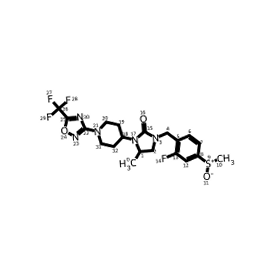 CC1CN(Cc2ccc([S+](C)[O-])cc2F)C(=O)N1C1CCN(c2noc(C(F)(F)F)n2)CC1